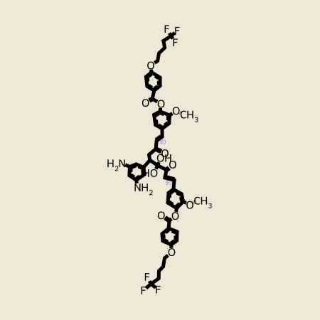 COc1cc(/C=C/C(=O)CC(c2cc(N)cc(N)c2)C(O)(O)C(=O)/C=C/c2ccc(OC(=O)c3ccc(OCCCCC(F)(F)F)cc3)c(OC)c2)ccc1OC(=O)c1ccc(OCCCCC(F)(F)F)cc1